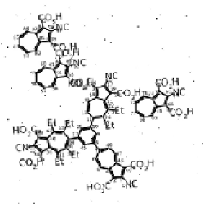 [C-]#[N+]c1c(C(=O)O)c2ccc(-c3cc(-c4ccc5c(C(=O)O)c([N+]#[C-])c(C(=O)O)c-5c(CC)c4CC)cc(-c4c(CC)c(CC)c5c(C(=O)O)c([N+]#[C-])c(C(=O)O)c-5c(CC)c4CC)c3)ccc-2c1C(=O)O.[C-]#[N+]c1c(C(=O)O)c2cccccc-2c1C(=O)O.[C-]#[N+]c1c(C(=O)O)c2cccccc-2c1C(=O)O.[C-]#[N+]c1c(C(=O)O)c2cccccc-2c1C(=O)O